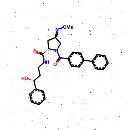 CON=C1C[C@@H](C(=O)NCC[C@@H](O)c2ccccc2)N(C(=O)c2ccc(-c3ccccc3)cc2)C1